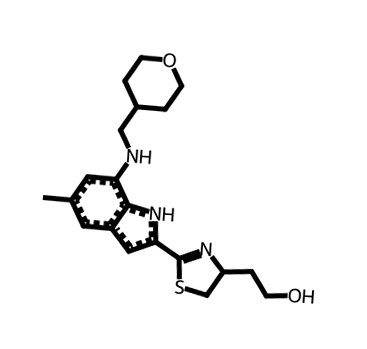 Cc1cc(NCC2CCOCC2)c2[nH]c(C3=NC(CCO)CS3)cc2c1